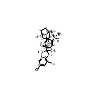 CC(C)(Oc1ncc(Cl)cc1F)C(=O)N[C@H]1C[C@H]2CC[C@@H](C1)N2c1ncccc1S(N)(=O)=O